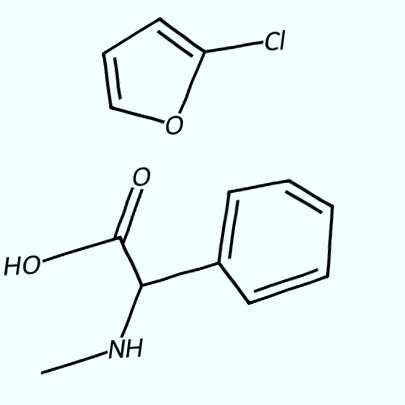 CNC(C(=O)O)c1ccccc1.Clc1ccco1